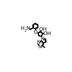 Cc1ncnc2c1ccn2C1CC(Oc2ccccc2CN)[C@@H](O)[C@H]1O